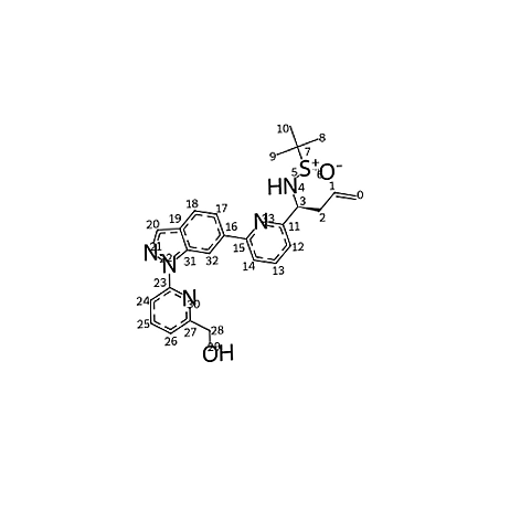 C=CC[C@H](N[S@@+]([O-])C(C)(C)C)c1cccc(-c2ccc3cnn(-c4cccc(CO)n4)c3c2)n1